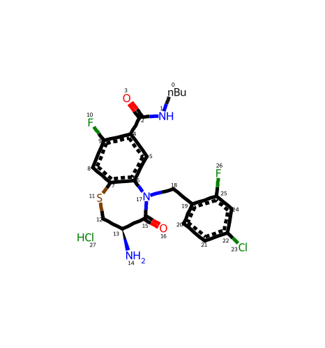 CCCCNC(=O)c1cc2c(cc1F)SC[C@H](N)C(=O)N2Cc1ccc(Cl)cc1F.Cl